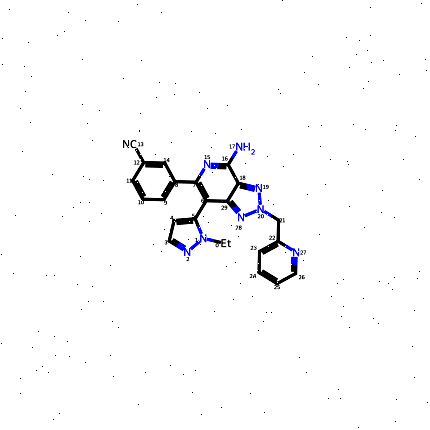 CCn1nccc1-c1c(-c2cccc(C#N)c2)nc(N)c2nn(Cc3ccccn3)nc12